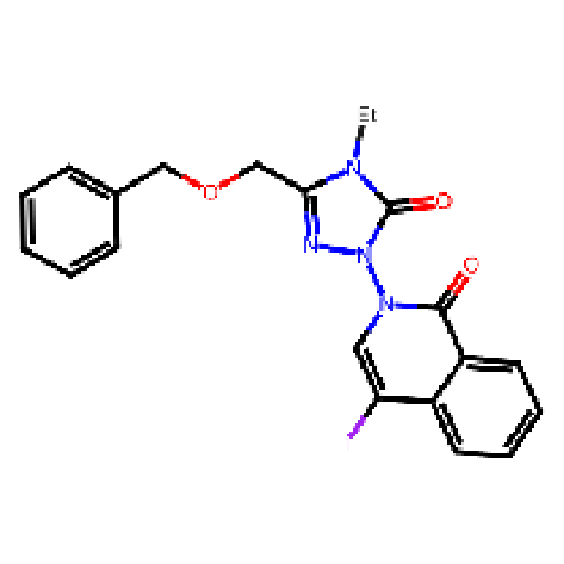 CCn1c(COCc2ccccc2)nn(-n2cc(I)c3ccccc3c2=O)c1=O